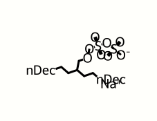 CCCCCCCCCCCCC(CCCCCCCCCCCC)COOS(=O)(=O)OS(=O)(=O)[O-].[Na+]